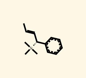 C/C=C/[C@H](c1ccccc1)[Si](C)(C)C